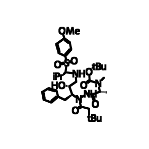 COc1ccc(S(=O)(=O)C(NC[C@@H](O)[C@H](Cc2ccccc2)N(NC(=O)[C@@H](C)N(C)C(=O)OC(C)(C)C)C(=O)CC(C)(C)C)C(C)C)cc1